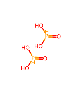 O=[PH](O)O.O=[PH](O)O